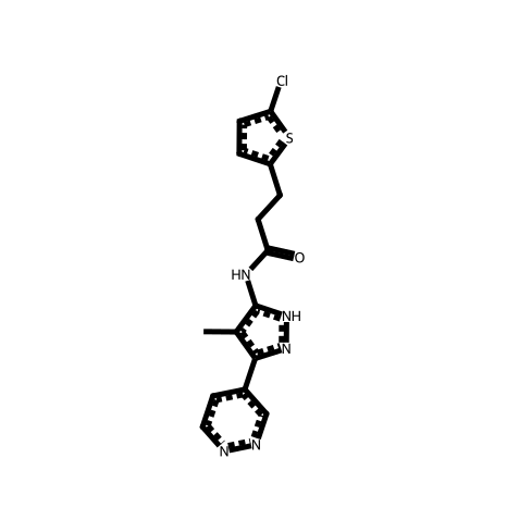 Cc1c(-c2ccnnc2)n[nH]c1NC(=O)CCc1ccc(Cl)s1